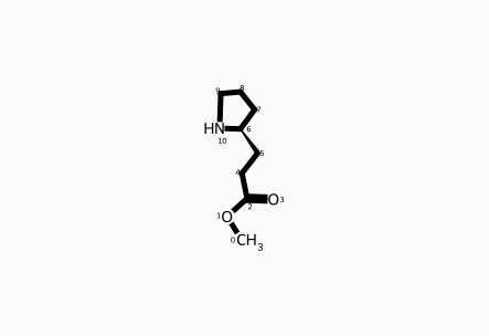 COC(=O)CC[C@@H]1CCCN1